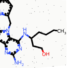 CCCCC(CCO)Nc1nc(N)nc2ccn(Cc3ccccn3)c12